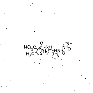 CC1=C(C(=O)O)N2C(=O)C(NC(=O)Cc3ccccc3NC(=O)N3CCNC3=O)[C@H]2SC1